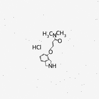 CN(C)C(=O)/C=C/COc1cccc2c1CNC2.Cl